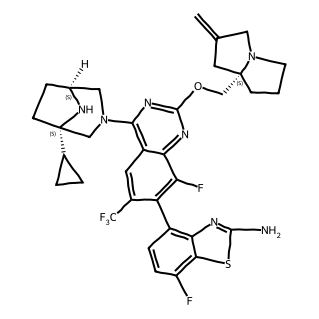 C=C1CN2CCC[C@@]2(COc2nc(N3C[C@@H]4CC[C@](C5CC5)(C3)N4)c3cc(C(F)(F)F)c(-c4ccc(F)c5sc(N)nc45)c(F)c3n2)C1